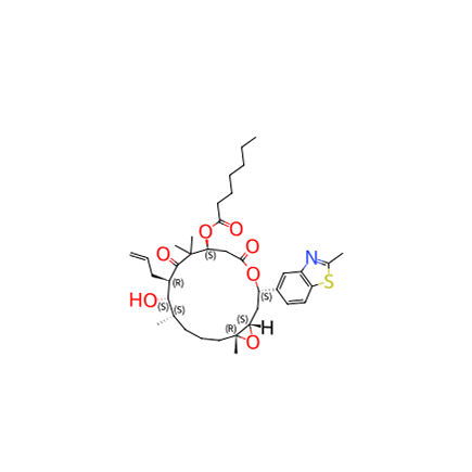 C=CC[C@H]1C(=O)C(C)(C)[C@@H](OC(=O)CCCCCC)CC(=O)O[C@H](c2ccc3sc(C)nc3c2)C[C@@H]2O[C@]2(C)CCC[C@H](C)[C@@H]1O